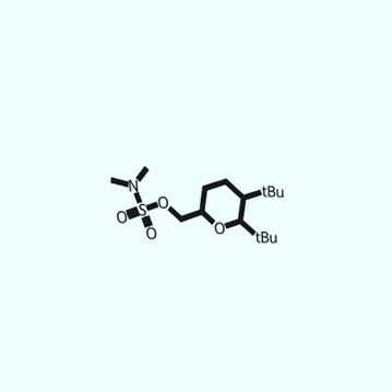 CN(C)S(=O)(=O)OCC1CCC(C(C)(C)C)C(C(C)(C)C)O1